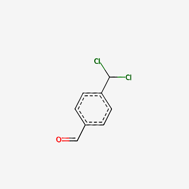 O=Cc1ccc(C(Cl)Cl)cc1